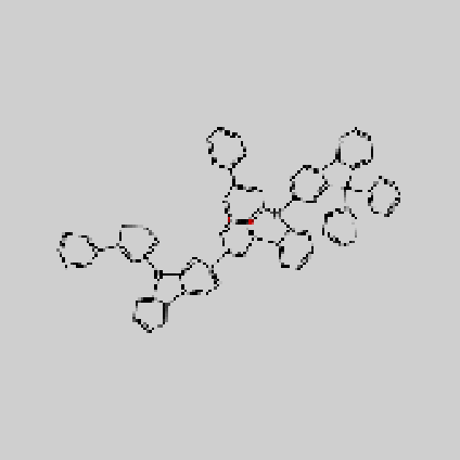 c1ccc(-c2cccc(N(c3ccc4c(c3)C(c3ccccc3)(c3ccccc3)c3ccccc3-4)c3ccccc3-c3cccc(-c4ccc5c6ccccc6n(-c6cccc(-c7ccccc7)c6)c5c4)c3)c2)cc1